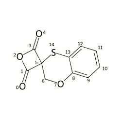 O=C1OC(=O)C12COc1ccccc1S2